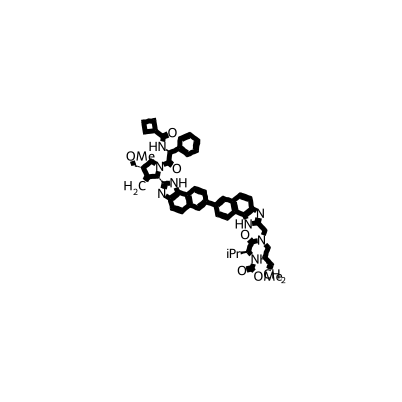 C=CCCN(Cc1nc2ccc3cc(-c4ccc5c(ccc6nc([C@@H]7C(=C)[C@H](COC)CN7C(=O)[C@H](NC(=O)C7CCC7)c7ccccc7)[nH]c65)c4)ccc3c2[nH]1)C(=O)[C@@H](NC(=O)OC)C(C)C